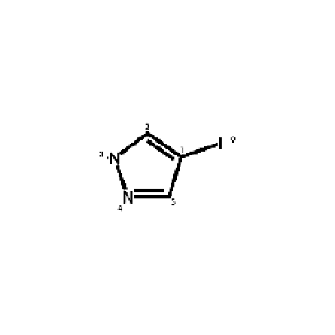 IC1=C[N]N=C1